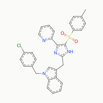 Cc1ccc(S(=O)(=O)c2[nH]c(Cc3cn(Cc4ccc(Cl)cc4)c4ccccc34)nc2-c2ccccn2)cc1